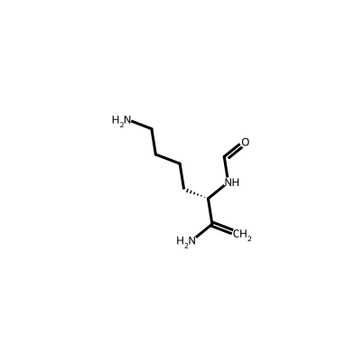 C=C(N)[C@H](CCCCN)NC=O